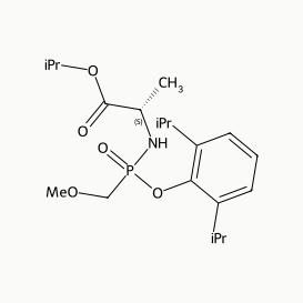 COCP(=O)(N[C@@H](C)C(=O)OC(C)C)Oc1c(C(C)C)cccc1C(C)C